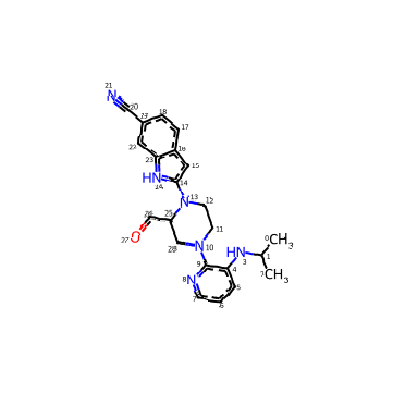 CC(C)Nc1cccnc1N1CCN(c2cc3ccc(C#N)cc3[nH]2)C(C=O)C1